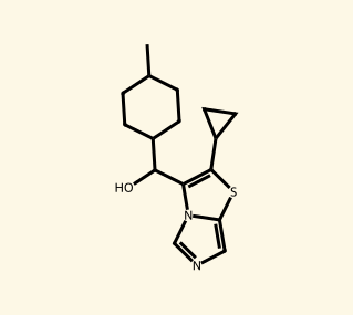 CC1CCC(C(O)c2c(C3CC3)sc3cncn23)CC1